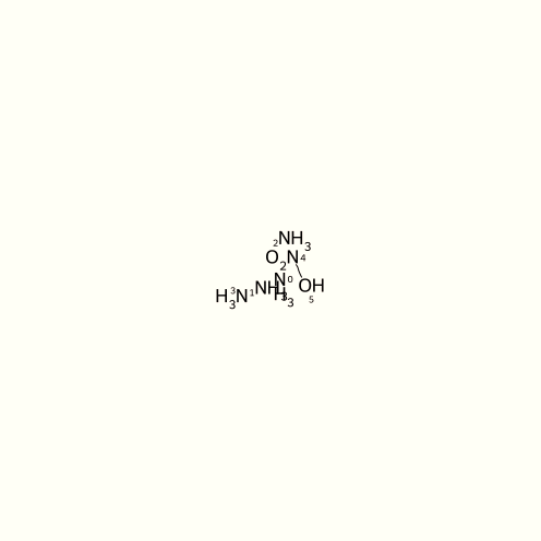 N.N.N.N.O=[N+]([O-])O